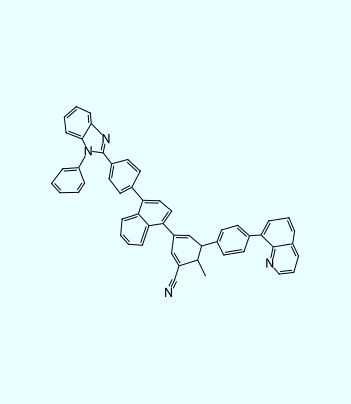 CC1C(C#N)=CC(c2ccc(-c3ccc(-c4nc5ccccc5n4-c4ccccc4)cc3)c3ccccc23)=CC1c1ccc(-c2cccc3cccnc23)cc1